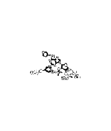 CCOC(=O)c1cnn(-c2nc(NC3CCOC3)c3ncn([C@@H]4O[C@H](CO[Si](C)(C)C(C)(C)C)[C@@H](O[Si](C)(C)C(C)(C)C)[C@@H]4O[Si](C)(C)C(C)(C)C)c3n2)c1